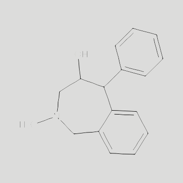 CN1Cc2ccccc2C(c2ccccc2)C(O)C1